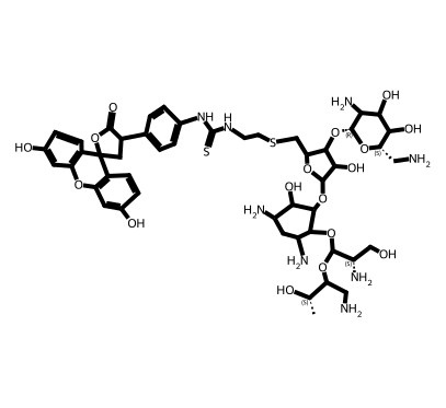 C[C@H](O)C(CN)OC(OC1C(N)CC(N)C(O)C1OC1OC(CSCCNC(=S)Nc2ccc(C3CC4(OC3=O)c3ccc(O)cc3Oc3cc(O)ccc34)cc2)C(O[C@H]2O[C@@H](CN)C(O)C(O)C2N)C1O)[C@@H](N)CO